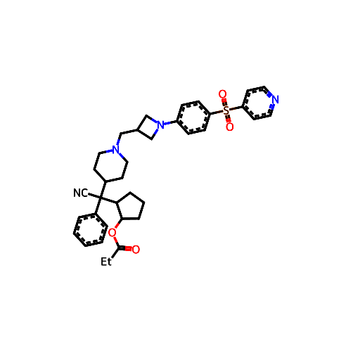 CCC(=O)OC1CCCC1C(C#N)(c1ccccc1)C1CCN(CC2CN(c3ccc(S(=O)(=O)c4ccncc4)cc3)C2)CC1